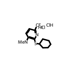 CNc1ccc(C(F)(F)F)nc1SC1CCCCC1.Cl.Cl